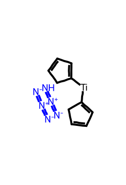 C1=CC[C]([Ti][C]2=CC=CC2)=C1.[N-]=[N+]=N.[N-]=[N+]=[N-]